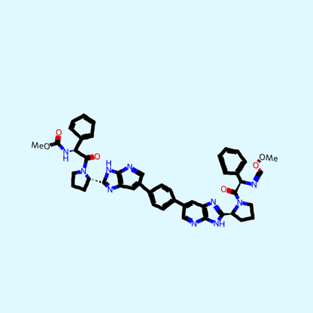 COO/C=N\[C@@H](C(=O)N1CCC[C@H]1c1nc2cc(-c3ccc(-c4cnc5[nH]c([C@@H]6CCCN6C(=O)[C@H](NC(=O)OC)c6ccccc6)nc5c4)cc3)cnc2[nH]1)c1ccccc1